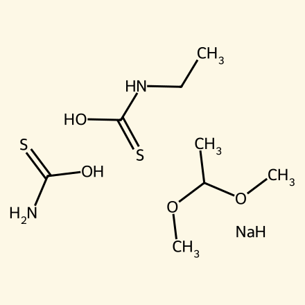 CCNC(O)=S.COC(C)OC.NC(O)=S.[NaH]